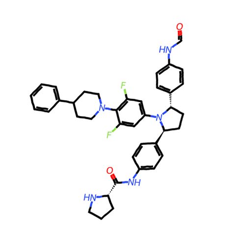 O=CNc1ccc([C@@H]2CC[C@@H](c3ccc(NC(=O)[C@@H]4CCCN4)cc3)N2c2cc(F)c(N3CCC(c4ccccc4)CC3)c(F)c2)cc1